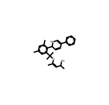 C/C(=C/C(C)O)OC(C)(C)c1cc(C)cc(C)c1C1C=CC(c2ccccc2)=CN1